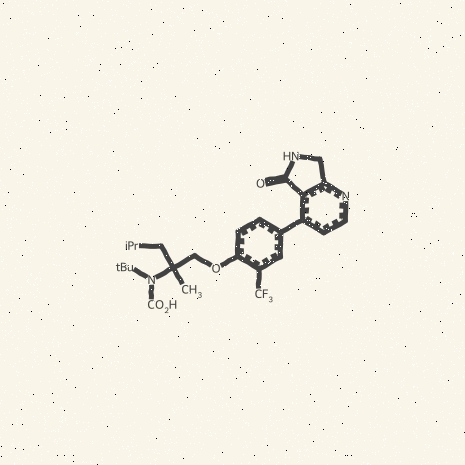 CC(C)CC(C)(COc1ccc(-c2ccnc3c2C(=O)NC3)cc1C(F)(F)F)N(C(=O)O)C(C)(C)C